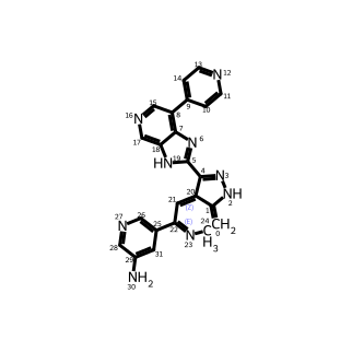 C=c1[nH]nc(-c2nc3c(-c4ccncc4)cncc3[nH]2)/c1=C/C(=N\C)c1cncc(N)c1